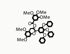 COc1cc(OC)c2c(c1)O[C@H](c1cc(Oc3ccccc3)c(Oc3ccccc3)c(Oc3ccccc3)c1)[C@H](OC(=O)c1cc(OC)c(OC)c(OC)c1)C2